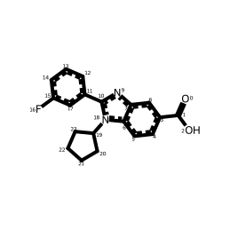 O=C(O)c1ccc2c(c1)nc(-c1cccc(F)c1)n2C1CCCC1